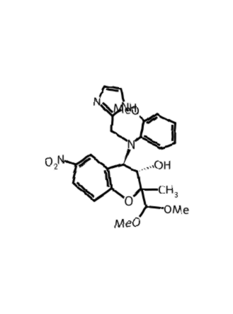 COc1ccccc1N(Cc1ncc[nH]1)[C@@H]1c2cc([N+](=O)[O-])ccc2OC(C)(C(OC)OC)[C@H]1O